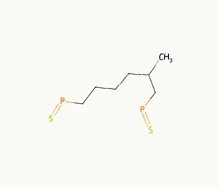 CC(CCCCP=S)CP=S